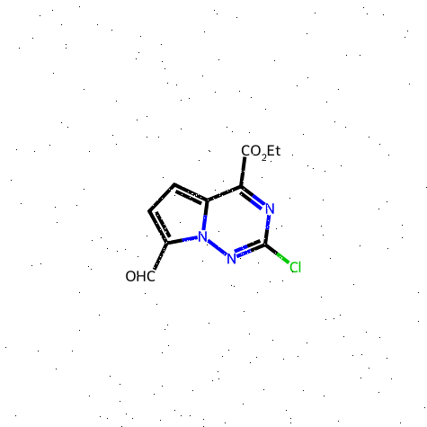 CCOC(=O)c1nc(Cl)nn2c(C=O)ccc12